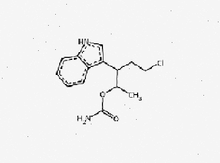 CC(OC(N)=O)C(CCCl)c1c[nH]c2ccccc12